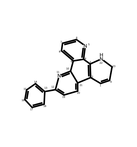 C1=Cc2c(c3ncccc3c3nc(-c4ccccc4)ccc23)NC1